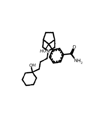 NC(=O)c1cccc(C2(O)C3CCC2CN(CCCC2(O)CCCCC2)C3)c1